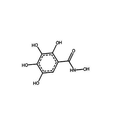 O=C(NO)c1cc(O)c(O)c(O)c1O